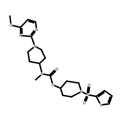 COc1ccnc(N2CCC(N(C)C(=O)OC3CCN(S(=O)(=O)c4cccs4)CC3)CC2)n1